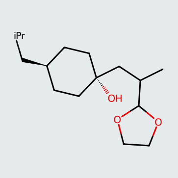 CC(C)C[C@H]1CC[C@@](O)(CC(C)C2OCCO2)CC1